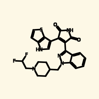 O=C1NC(=O)C(c2c[nH]c3ccsc23)=C1c1nn(CC2CCN(CC(F)F)CC2)c2ccccc12